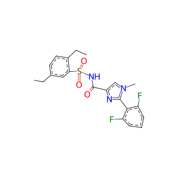 CCc1ccc(CC)c(S(=O)(=O)NC(=O)c2cn(C)c(-c3c(F)cccc3F)n2)c1